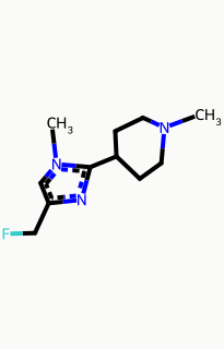 CN1CCC(c2nc(CF)cn2C)CC1